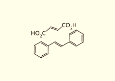 C(=Cc1ccccc1)c1ccccc1.O=C(O)C=CC(=O)O